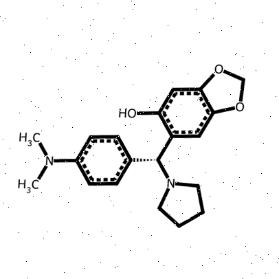 CN(C)c1ccc([C@H](c2cc3c(cc2O)OCO3)N2CCCC2)cc1